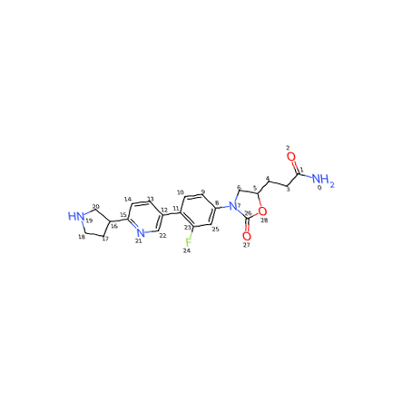 NC(=O)CCC1CN(c2ccc(-c3ccc(C4CCNC4)nc3)c(F)c2)C(=O)O1